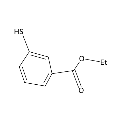 CCOC(=O)c1cccc(S)c1